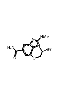 CNc1nc2cc(C(N)=O)cc3c2n1[C@@H](C(C)C)CO3